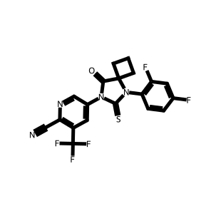 N#Cc1ncc(N2C(=O)C3(CCC3)N(c3ccc(F)cc3F)C2=S)cc1C(F)(F)F